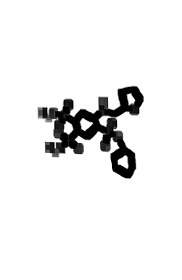 CS(=O)(=O)c1cc(NCc2ccco2)c(S(=O)(=O)Oc2ccccc2)cc1S(N)(=O)=O